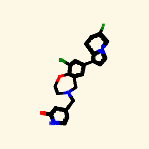 O=c1cc(CN2CCOc3c(Cl)cc(-c4ccn5cc(F)ccc45)cc3C2)cc[nH]1